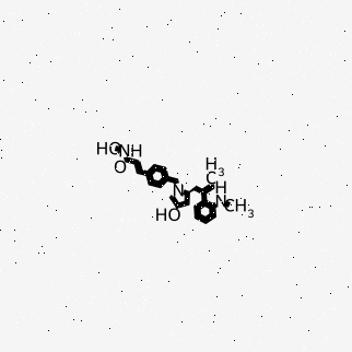 C/C=C(\C[C@H]1C[C@H](O)CN1Cc1ccc(/C=C/C(=O)NO)cc1)c1ccccc1NC